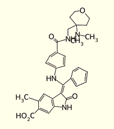 Cc1cc2c(cc1C(=O)O)NC(=O)/C2=C(/Nc1ccc(C(=O)NCC2(N(C)C)CCOCC2)cc1)c1ccccc1